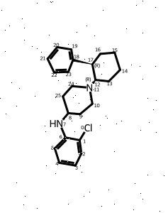 Clc1ccccc1NC1CCN([C@@H]2CCCC[C@@H]2c2ccccc2)CC1